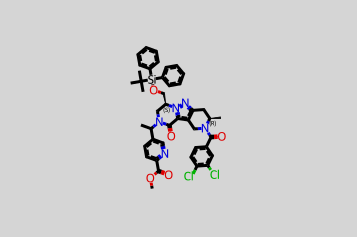 COC(=O)c1ccc(C(C)N2C[C@@H](CO[Si](c3ccccc3)(c3ccccc3)C(C)(C)C)n3nc4c(c3C2=O)CN(C(=O)c2ccc(Cl)c(Cl)c2)[C@H](C)C4)cn1